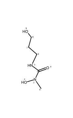 CN(O)C(=O)NCCCO